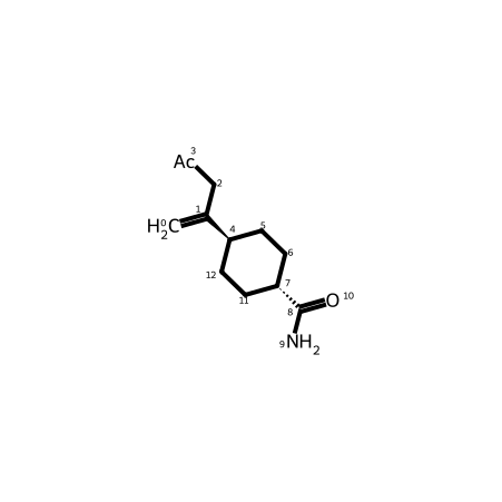 C=C(CC(C)=O)[C@H]1CC[C@H](C(N)=O)CC1